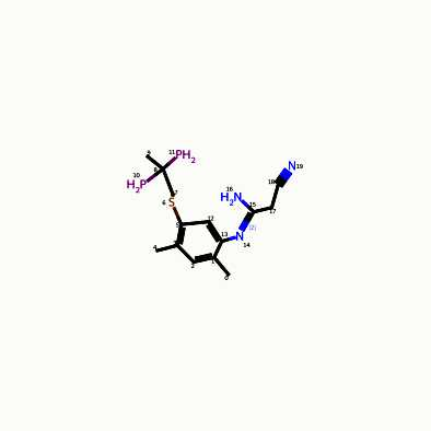 Cc1cc(C)c(SCC(C)(P)P)cc1/N=C(\N)CC#N